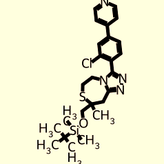 CC1(CO[Si](C)(C)C(C)(C)C)Cc2nnc(-c3ccc(-c4ccncc4)cc3Cl)n2CCS1